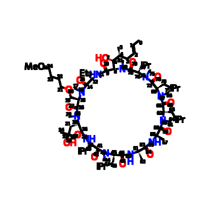 C/C=C/C[C@@H](C)[C@@H](O)[C@H]1C(=O)N[C@@H](CC)C(=O)N(C)[C@H](COCCCCOC)C(=O)N(C)[C@@H](CC(C)(C)O)C(=O)N[C@@H](C(C)C)C(=O)N(C)[C@@H](CC(C)C)C(=O)N[C@@H](C)C(=O)N[C@H](C)C(=O)N(C)[C@@H](CC(C)C)C(=O)N(C)[C@@H](CC(C)C)C(=O)N(C)[C@@H](C(C)C)C(=O)N1C